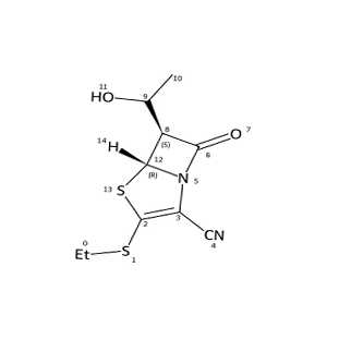 CCSC1=C(C#N)N2C(=O)[C@H](C(C)O)[C@H]2S1